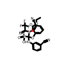 CCOC(=O)CN(C(=O)C(F)(F)F)C(Oc1cccc(C#N)c1)(Oc1cccc(C#N)c1)P(=O)(O)O